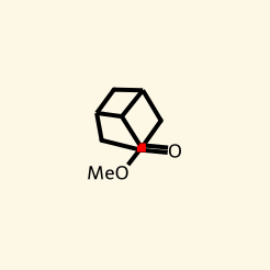 COC(=O)C1C2CCCC1C2